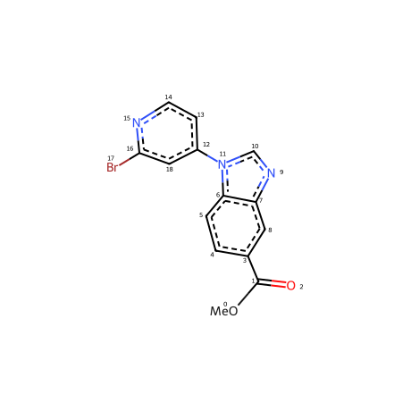 COC(=O)c1ccc2c(c1)ncn2-c1ccnc(Br)c1